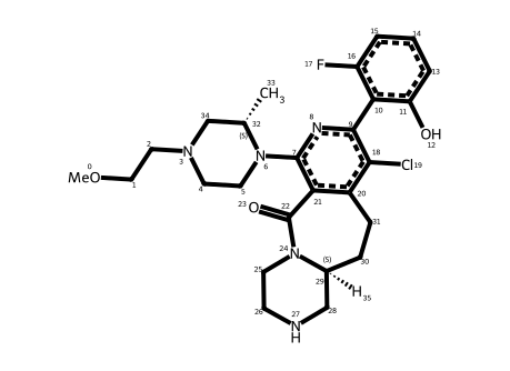 COCCN1CCN(c2nc(-c3c(O)cccc3F)c(Cl)c3c2C(=O)N2CCNC[C@@H]2CC3)[C@@H](C)C1